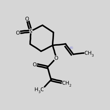 C=C(C)C(=O)OC1(/C=C/C)CCS(=O)(=O)CC1